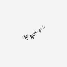 O=C(NCCc1cccc2c1oc1ccccc12)c1ccc2c(c1)CCC(CCN1CCC(c3ccccc3)CC1)C2=O